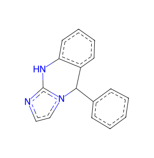 c1ccc(C2c3ccccc3Nc3nccn32)cc1